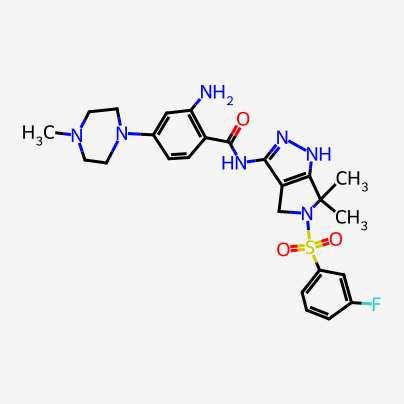 CN1CCN(c2ccc(C(=O)Nc3n[nH]c4c3CN(S(=O)(=O)c3cccc(F)c3)C4(C)C)c(N)c2)CC1